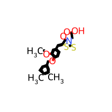 CCOc1cc(/C=C2\SC(=S)N(CC(=O)O)C2=O)ccc1OCc1ccc(C)c(C)c1